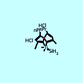 CCCC1=CC(C)=[C]([Ti]([CH3])([CH3])(=[SiH2])[C]2=C(C)C=C(CCC)C2)C1.Cl.Cl